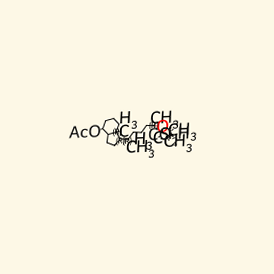 CC(=O)OC1CCC[C@@]2(C)C1CC[C@@H]2[C@H](C)CCC[C@@](C)(O[Si](C)(C)C)C(=O)O